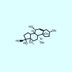 C#CC1(O)CCC2[C@H]3[C@H]([C@H](O)C[C@@]21C)[C@@]1(C)CC[C@H](O)CC1=C[C@@H]3O